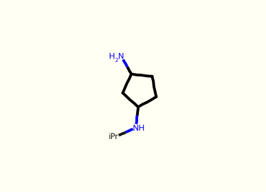 CC(C)NC1CCC(N)C1